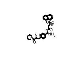 NC(=NC(=O)CNS(=O)(=O)c1cccc2ccccc12)c1ccc(CC(N)C(=O)N2CCCCC2)cc1